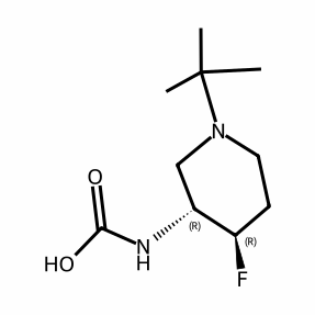 CC(C)(C)N1CC[C@@H](F)[C@H](NC(=O)O)C1